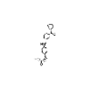 O=C(c1ccccc1)c1cccc(CNc2ccc([C@@H]3C[C@H]3C(=O)O)cc2)c1